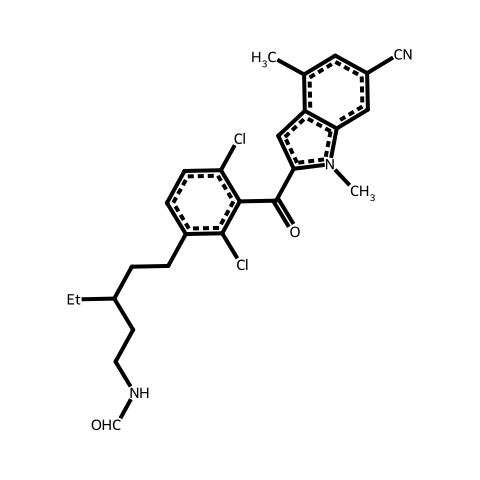 CCC(CCNC=O)CCc1ccc(Cl)c(C(=O)c2cc3c(C)cc(C#N)cc3n2C)c1Cl